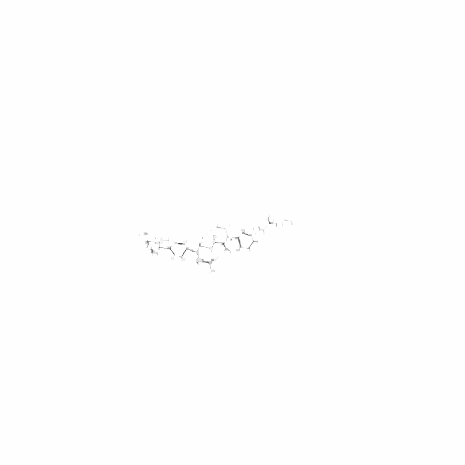 CCOC(=O)COc1cccc(N2CCO[C@H]([C@@H](OC(C)=O)C(=O)Nc3ccc(-c4noc(=O)[nH]4)cc3)C2=O)c1